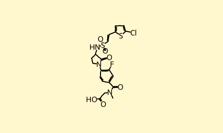 CN(CC(=O)O)C(=O)c1ccc(N2CCC(NS(=O)(=O)/C=C/c3ccc(Cl)s3)C2=O)c(F)c1